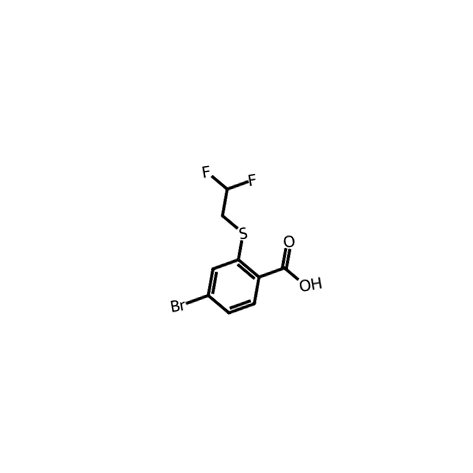 O=C(O)c1ccc(Br)cc1SCC(F)F